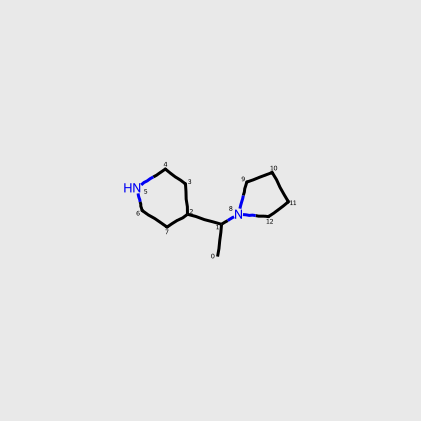 CC(C1CCNCC1)N1CCCC1